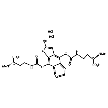 CN[C@@H](CCNC(=O)Oc1c2ccccc2c(OC(=O)NCC[C@@H](NC)C(=O)O)c2cc(C(C)=O)oc12)C(=O)O.Cl.Cl